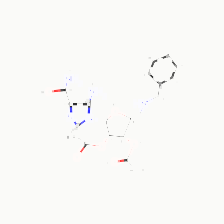 CCCCC(=O)O[C@@H]1[C@H](OC(=O)CCCC)[C@@H](CNCc2ccccc2)O[C@H]1n1cnc(C(N)=O)c1N